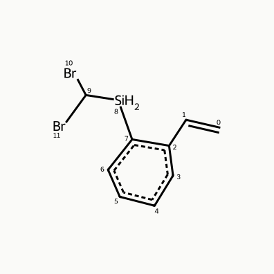 C=Cc1ccccc1[SiH2]C(Br)Br